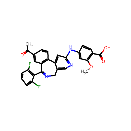 COc1cc(Nc2cc3c(cn2)CN=C(c2c(F)cccc2F)c2cc(C(C)=O)ccc2-3)ccc1C(=O)O